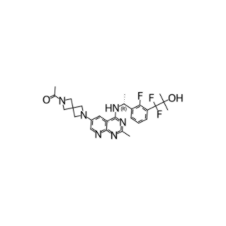 CC(=O)N1CC2(C1)CN(c1cnc3nc(C)nc(N[C@H](C)c4cccc(C(F)(F)C(C)(C)O)c4F)c3c1)C2